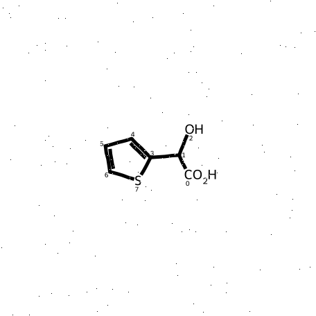 O=C(O)C(O)c1cccs1